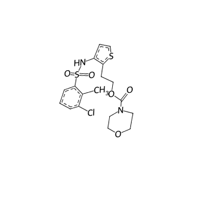 Cc1c(Cl)cccc1S(=O)(=O)Nc1ccsc1CCOC(=O)N1CCOCC1